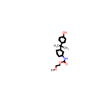 CCOCCOC(=O)Nc1cccc(C(C)(C)c2ccc(O)cc2)c1